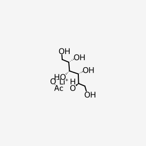 CC(=O)[O-].OC[C@@H](O)[C@@H](O)[C@H](O)[C@@H](O)CO.[Li+]